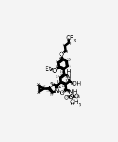 CCOc1cc(OCCCC(F)(F)F)ccc1C1=CC(c2ncc(C3CC3)s2)=C(C(=O)NS(C)(=O)=O)C(O)N1